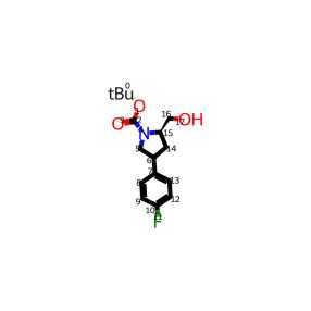 CC(C)(C)OC(=O)N1CC(c2ccc(F)cc2)C[C@@H]1CO